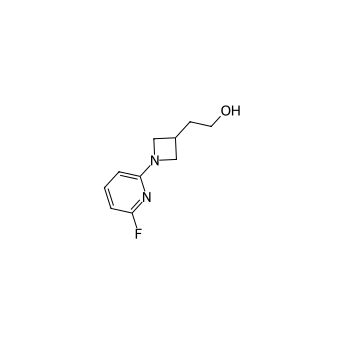 OCCC1CN(c2cccc(F)n2)C1